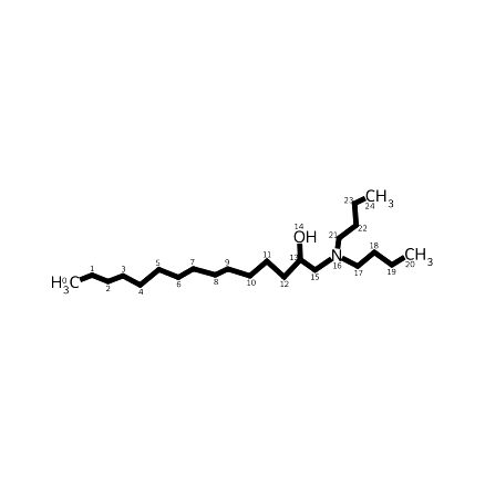 CCCCCCCCCCCCCC(O)CN(CCCC)CCCC